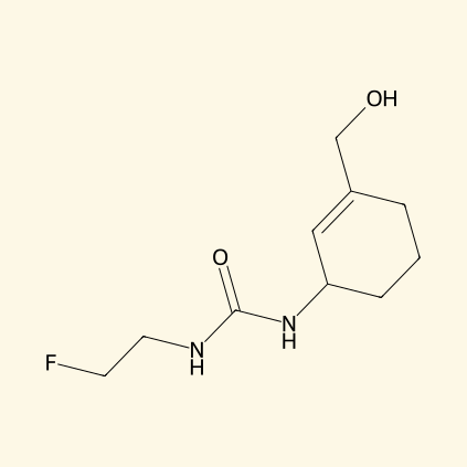 O=C(NCCF)NC1C=C(CO)CCC1